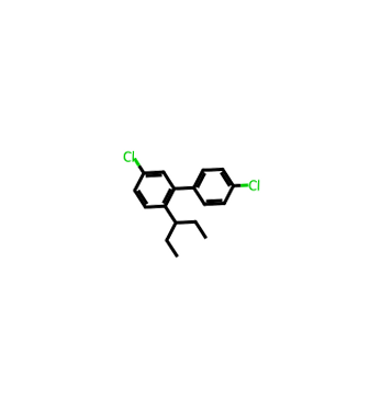 CCC(CC)c1ccc(Cl)cc1-c1ccc(Cl)cc1